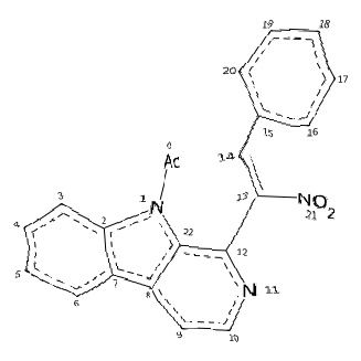 CC(=O)n1c2ccccc2c2ccnc(C(=Cc3ccccc3)[N+](=O)[O-])c21